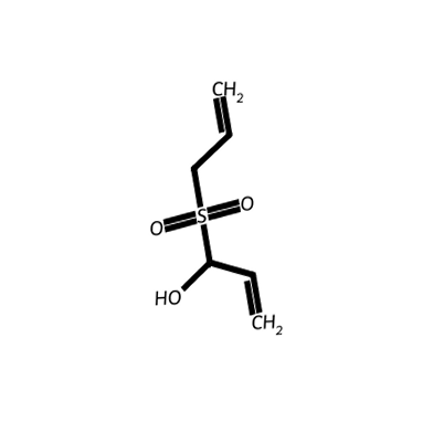 C=CCS(=O)(=O)[C](O)C=C